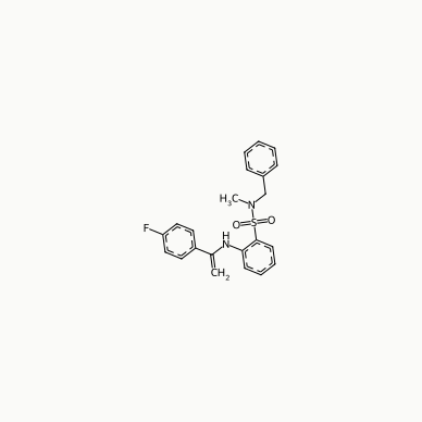 C=C(Nc1ccccc1S(=O)(=O)N(C)Cc1ccccc1)c1ccc(F)cc1